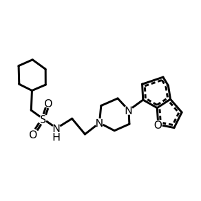 O=S(=O)(CC1CCCCC1)NCCN1CCN(c2cccc3ccoc23)CC1